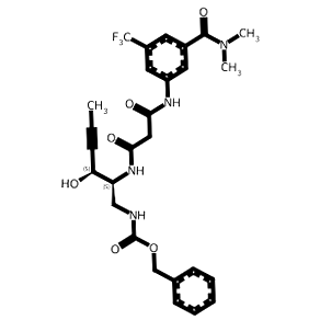 CC#C[C@H](O)[C@H](CNC(=O)OCc1ccccc1)NC(=O)CC(=O)Nc1cc(C(=O)N(C)C)cc(C(F)(F)F)c1